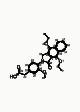 CCOc1c2c(c(OCC)c3ccccc13)C(=O)N(c1ccc(CC(=O)O)cc1OC)C2